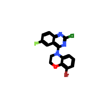 Fc1ccc2nc(Cl)nc(N3CCOc4c(Br)cccc43)c2c1